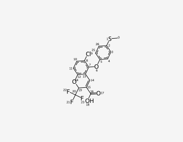 CSc1ccc(Oc2c(Cl)ccc3c2C=C(C(=O)O)C(C(F)(F)F)O3)cc1